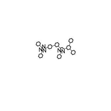 c1ccc(-c2cc(-c3ccccc3)cc(-c3cc(-c4cccc(-c5ccc(-c6nc(-c7ccccc7)nc(-c7ccccc7)n6)cc5)c4)nc(-c4ccccc4)n3)c2)cc1